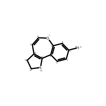 [2H]c1ccc2c(c1)OC=CC1=C2SCC1